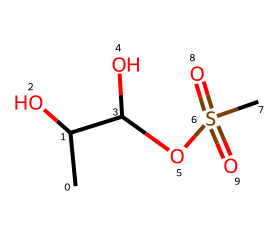 CC(O)C(O)OS(C)(=O)=O